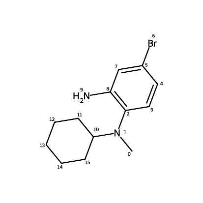 CN(c1ccc(Br)cc1N)C1CCCCC1